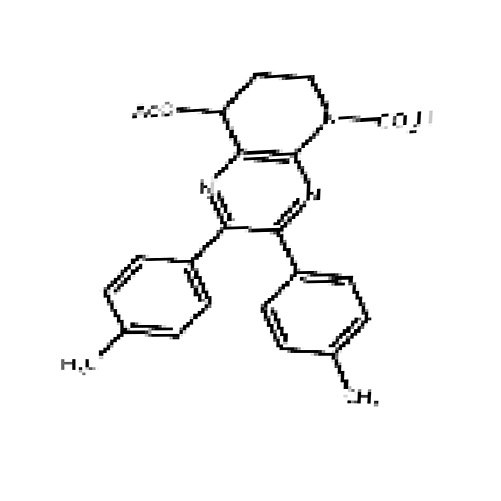 CC(=O)OC1CCN(C(=O)O)c2nc(-c3ccc(C)cc3)c(-c3ccc(C)cc3)nc21